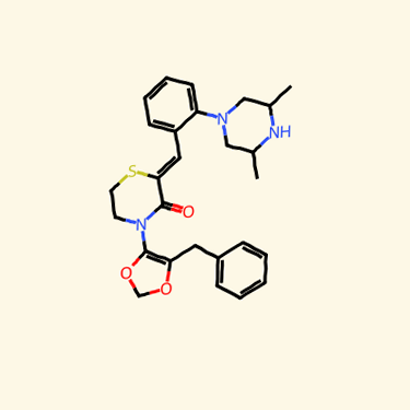 CC1CN(c2ccccc2C=C2SCCN(C3=C(Cc4ccccc4)OCO3)C2=O)CC(C)N1